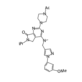 COc1cccc(-n2cc(CN(C)c3nc(N4CCN(C(C)=O)CC4)nc4c3CN(C(C)C)C4=O)cn2)c1